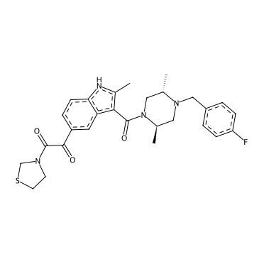 Cc1[nH]c2ccc(C(=O)C(=O)N3CCSC3)cc2c1C(=O)N1C[C@H](C)N(Cc2ccc(F)cc2)C[C@H]1C